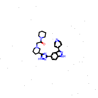 O=C(CN1CCCC(c2nc(-c3ccc4[nH]nc(-c5ccncc5)c4c3)n[nH]2)C1)N1CCCCC1